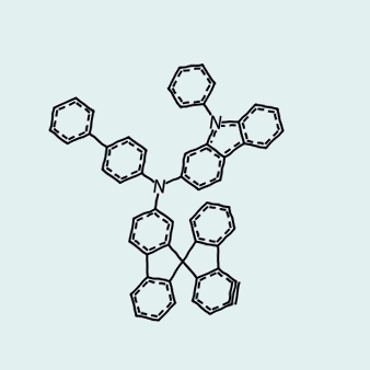 c1ccc2c(c#1)-c1ccccc1C21c2ccccc2-c2ccc(N(c3ccc(-c4ccccc4)cc3)c3ccc4c5ccccc5n(-c5ccccc5)c4c3)cc21